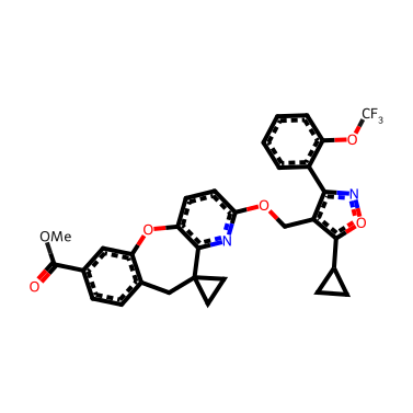 COC(=O)c1ccc2c(c1)Oc1ccc(OCc3c(-c4ccccc4OC(F)(F)F)noc3C3CC3)nc1C1(CC1)C2